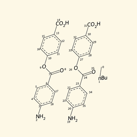 CCCCC.Nc1ccc(C(=O)Oc2ccc(C(=O)O)cc2)cc1.Nc1ccc(C(=O)Oc2ccc(C(=O)O)cc2)cc1